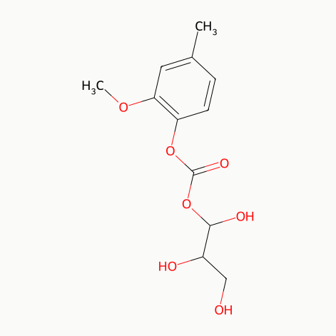 COc1cc(C)ccc1OC(=O)OC(O)C(O)CO